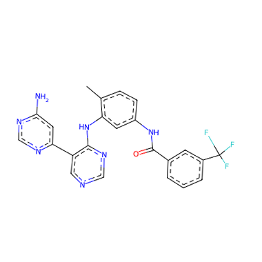 Cc1ccc(NC(=O)c2cccc(C(F)(F)F)c2)cc1Nc1ncncc1-c1cc(N)ncn1